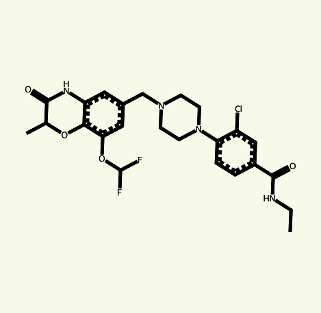 CCNC(=O)c1ccc(N2CCN(Cc3cc4c(c(OC(F)F)c3)OC(C)C(=O)N4)CC2)c(Cl)c1